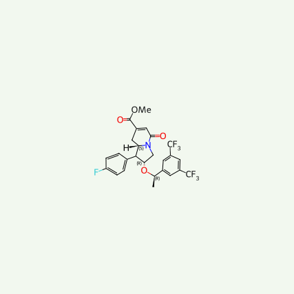 COC(=O)C1=CC(=O)N2C[C@H](O[C@H](C)c3cc(C(F)(F)F)cc(C(F)(F)F)c3)C(c3ccc(F)cc3)[C@@H]2C1